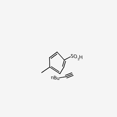 C#CCCCC.Cc1ccc(S(=O)(=O)O)cc1